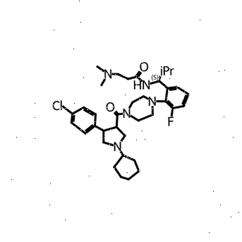 CC(C)[C@H](NC(=O)CCN(C)C)c1cccc(F)c1N1CCN(C(=O)C2CN(C3CCCCC3)CC2c2ccc(Cl)cc2)CC1